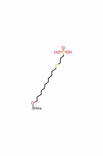 CCCCCCOCCCCCCCCCCCSCCCP(=O)(O)O